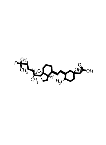 C=C1CC[C@@](O)(CC(=O)O)C/C1=C/C=C1\CCC[C@]2(C)[C@@H]([C@H](C)CCCC(C)(C)F)CC[C@@H]12